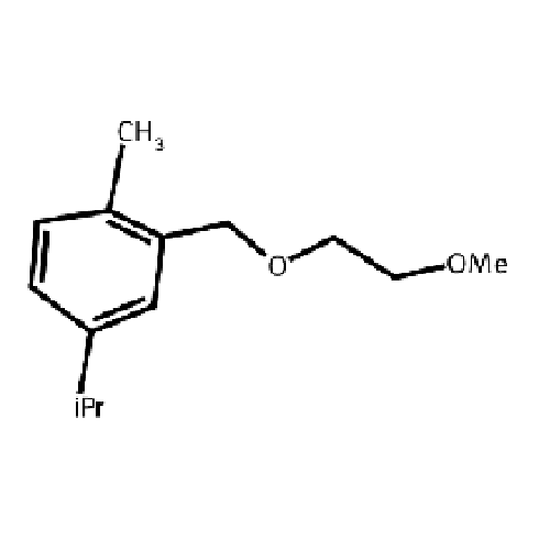 COCCOCc1cc(C(C)C)ccc1C